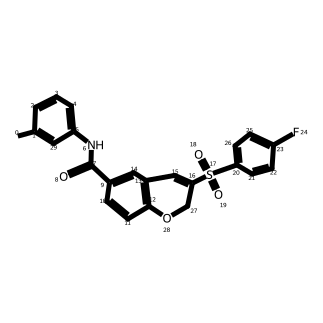 Cc1cccc(NC(=O)c2ccc3c(c2)C=C(S(=O)(=O)c2ccc(F)cc2)CO3)c1